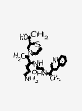 C=C(NCC(=O)NC(CCCN)C(=C)N1CCSC(C(=C)O)C1)C(CN)Cc1ccccc1